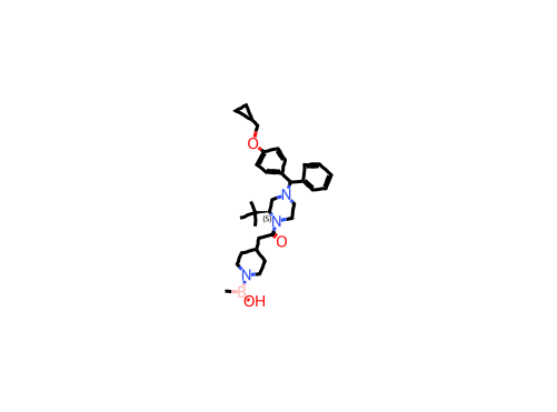 CB(O)N1CCC(CC(=O)N2CCN(C(c3ccccc3)c3ccc(OCC4CC4)cc3)C[C@@H]2C(C)(C)C)CC1